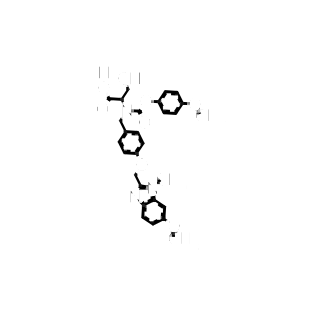 CCC(C(=O)O)N(Cc1ccc(OCc2nc3ccc(OC)cc3n2C)cc1)C(=O)Oc1ccc(OC)cc1